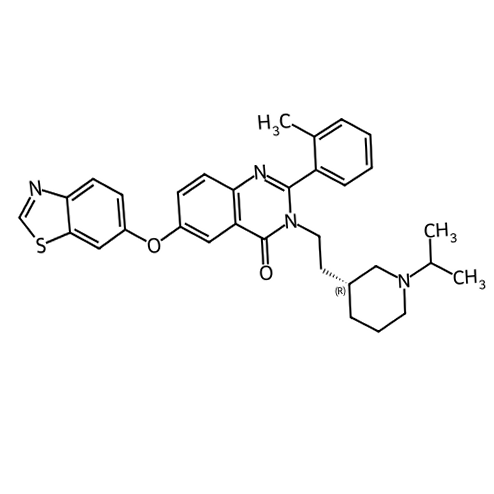 Cc1ccccc1-c1nc2ccc(Oc3ccc4ncsc4c3)cc2c(=O)n1CC[C@H]1CCCN(C(C)C)C1